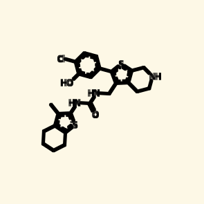 Cc1c(NC(=O)NCc2c(-c3ccc(Cl)c(O)c3)sc3c2CCNC3)sc2c1CCCC2